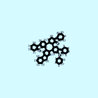 c1ccc(-n2c3ccccc3c3cc4c(cc32)-c2cc3c(cc2-c2c(ccc5c2sc2ccccc25)-c2ccc5c(sc6ccccc65)c2-4)-c2ccccc2C3)cc1